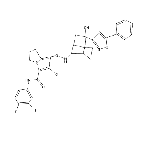 O=C(Nc1ccc(F)c(F)c1)c1c(Cl)c(SNC2C3CCC34C2CC4(O)c2cc(-c3ccccc3)on2)c2n1CCC2